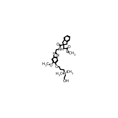 COC(=O)CC1(C(=O)NCc2nc3cc(OCCC[N+](C)(C)CCO)c(OC)cc3s2)Cc2ccccc2C1